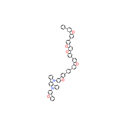 C1=CC(c2ccc3c(c2)oc2ccc(-n4c5ccccc5c5ccc6c(c7ccccc7n6-c6ccc7oc8ccccc8c7c6)c54)cc23)CC=C1C1C=Cc2oc3ccc(-c4ccc5oc6c(ccc7c8cc(-c9ccc%10oc%11c(c%10c9)CC(c9ccccc9)C=C%11)ccc8oc76)c5c4)cc3c2C1